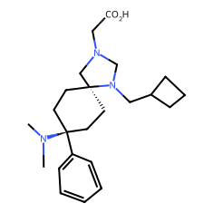 CN(C)[C@]1(c2ccccc2)CC[C@]2(CC1)CN(CC(=O)O)CN2CC1CCC1